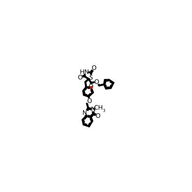 Cn1c(COc2ccc(CC3(C(=O)OCc4ccccc4)SC(=O)NC3=O)cc2)nc2ccccc2c1=O